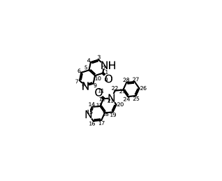 O=c1[nH]ccc2ccncc12.O=c1c2cnccc2ccn1Cc1ccccc1